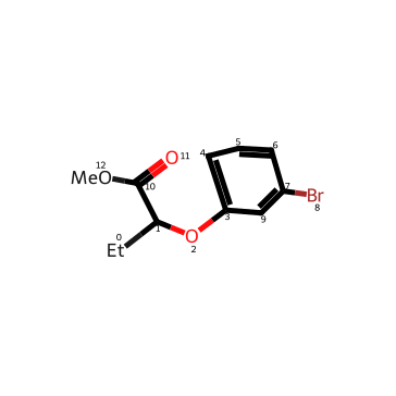 CCC(Oc1cccc(Br)c1)C(=O)OC